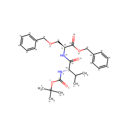 CC(C)[C@H](NC(=O)OC(C)(C)C)C(=O)N[C@@H](COCc1ccccc1)C(=O)OCc1ccccc1